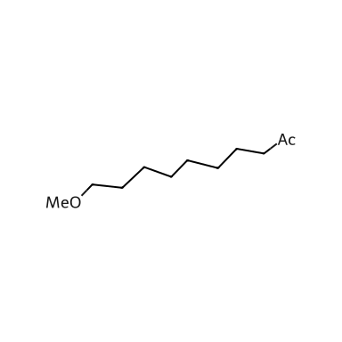 COCCCCCCCCC(C)=O